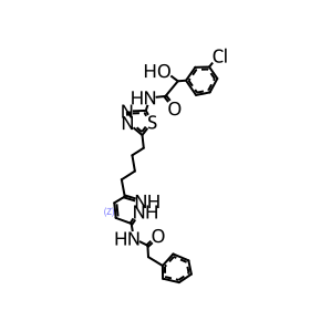 N=C(/C=C\C(=N)NC(=O)Cc1ccccc1)CCCCc1nnc(NC(=O)C(O)c2cccc(Cl)c2)s1